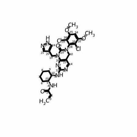 C=CC(=O)N[C@H]1CCCC[C@H]1Nc1ncc2c(n1)N(Cc1cn[nH]c1)C(=O)N(c1c(Cl)c(OC)cc(OC)c1Cl)C2